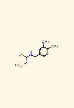 COc1ccc(CNC(CC(=O)O)C(C)C)cc1OC